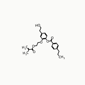 C=C(C)C(=O)OCCOc1cc(CCO)ccc1OC(=O)c1ccc(CCC)cc1